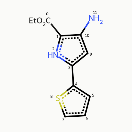 CCOC(=O)c1[nH]c(-c2cccs2)cc1N